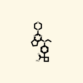 CCN(c1ccc(C2(C(=O)O)CCC2)cc1)c1nc(N2CCOCC2)nc2c1CCC2